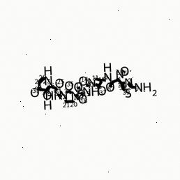 Nc1nc(C(=N[O])C(=O)NC2CN(C(=O)NS(=O)(=O)N3CCN(NC(=O)c4[nH]ccc(=O)c4O)C3=O)C2=O)cs1